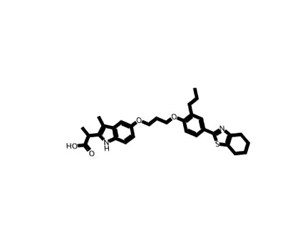 CCCc1cc(-c2nc3c(s2)CCCC3)ccc1OCCCOc1ccc2[nH]c(C(C)C(=O)O)c(C)c2c1